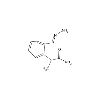 CC(C(N)=O)c1ccccc1C=NN